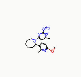 COc1ccc(C2CCCCCN2c2cc(C)nc(N)n2)c(C)n1